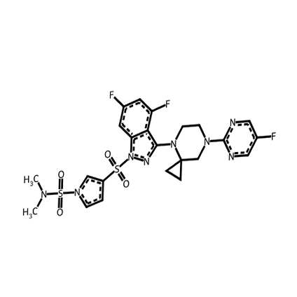 CN(C)S(=O)(=O)n1ccc(S(=O)(=O)n2nc(N3CCN(c4ncc(F)cn4)CC34CC4)c3c(F)cc(F)cc32)c1